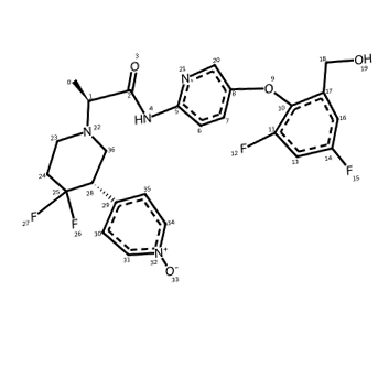 C[C@@H](C(=O)Nc1ccc(Oc2c(F)cc(F)cc2CO)cn1)N1CCC(F)(F)[C@@H](c2cc[n+]([O-])cc2)C1